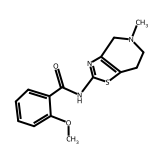 COc1ccccc1C(=O)Nc1nc2c(s1)CCN(C)C2